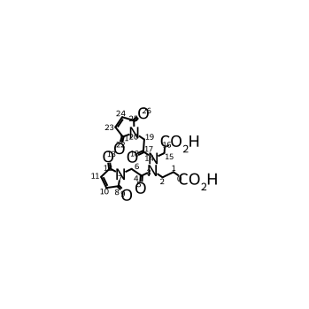 O=C(O)CCN(C(=O)CN1C(=O)C=CC1=O)N(CC(=O)O)C(=O)CN1C(=O)C=CC1=O